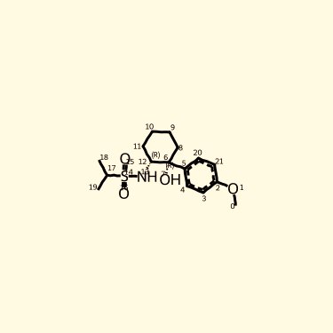 COc1ccc([C@]2(O)CCCC[C@H]2NS(=O)(=O)C(C)C)cc1